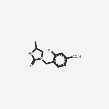 CC1CN(Cc2ccc(C(=O)O)cc2O)C(=O)N1